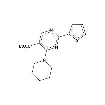 CCOC(=O)c1cnc(-c2cccs2)nc1N1CCCCC1